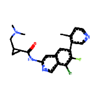 Cc1ccncc1-c1cc2cc(NC(=O)C3CC3CN(C)C)ncc2c(Cl)c1F